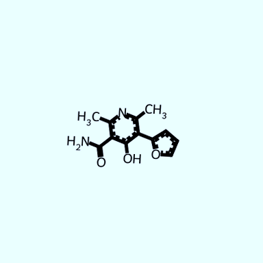 Cc1nc(C)c(-c2ccco2)c(O)c1C(N)=O